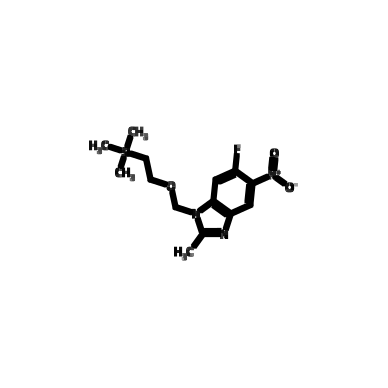 Cc1nc2cc([N+](=O)[O-])c(F)cc2n1COCC[Si](C)(C)C